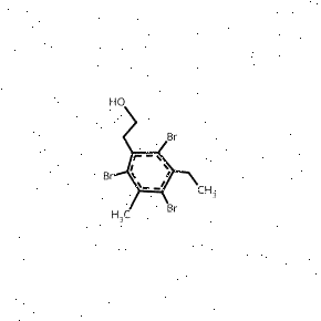 CCc1c(Br)c(C)c(Br)c(CCO)c1Br